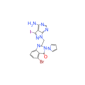 Nc1ncnc2c1c(I)nn2Cc1nc2cccc(Br)c2c(=O)n1-n1cccc1